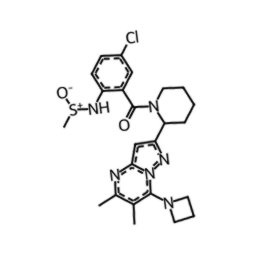 Cc1nc2cc(C3CCCCN3C(=O)c3cc(Cl)ccc3N[S+](C)[O-])nn2c(N2CCC2)c1C